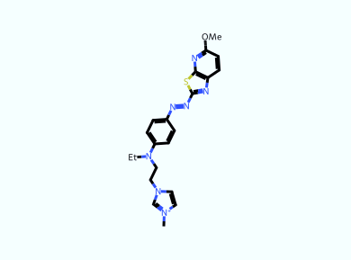 CCN(CCn1cc[n+](C)c1)c1ccc(N=Nc2nc3ccc(OC)nc3s2)cc1